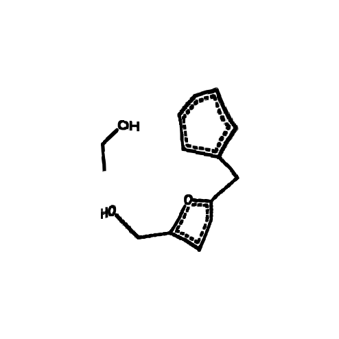 CCO.OCc1ccc(Cc2ccccc2)o1